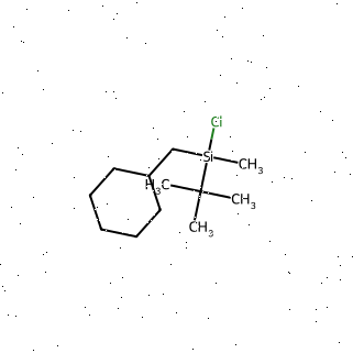 CC(C)(C)[Si](C)(Cl)CC1CCCCC1